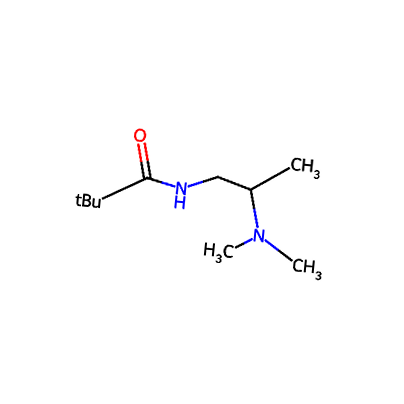 CC(CNC(=O)C(C)(C)C)N(C)C